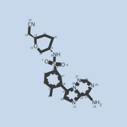 Cc1ccc(S(=O)(=O)N[C@H]2CC[C@H](CC#N)OC2)cc1-c1cnc2c(N)ncnn12